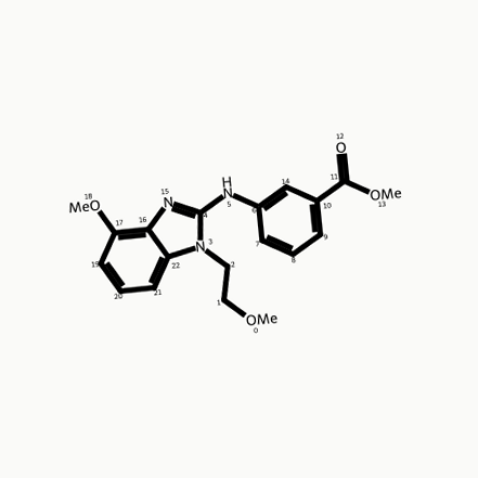 COCCn1c(Nc2cccc(C(=O)OC)c2)nc2c(OC)cccc21